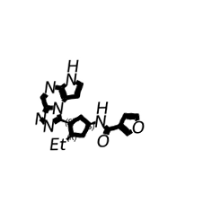 CC[C@@H]1C[C@H](NC(=O)c2ccoc2)C[C@@H]1c1nnc2cnc3[nH]ccc3n12